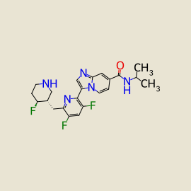 CC(C)NC(=O)c1ccn2c(-c3nc(C[C@H]4CNCC[C@@H]4F)c(F)cc3F)cnc2c1